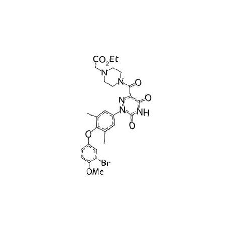 CCOC(=O)CN1CCN(C(=O)c2nn(-c3cc(C)c(Oc4ccc(OC)c(Br)c4)c(C)c3)c(=O)[nH]c2=O)CC1